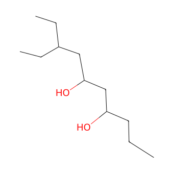 CCCC(O)CC(O)CC(CC)CC